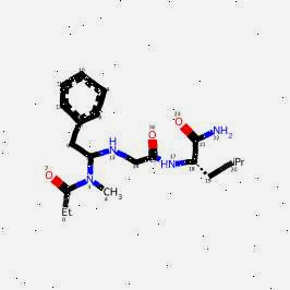 CCC(=O)N(C)C(Cc1ccccc1)NCC(=O)N[C@@H](CC(C)C)C(N)=O